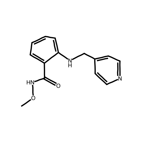 CONC(=O)c1ccccc1NCc1ccncc1